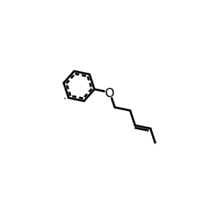 CC=CCCOc1c[c]ccc1